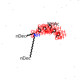 CCCCCCCCCCCCC/C=C/[C@@H](O)[C@H](CO[C@@H]1OC(CO)[C@@H](O[C@@H]2OC(CO)[C@H](O)[C@H](O[C@@H]3OC(CO)[C@@H](O[C@@H]4OC(CO)[C@H](O)[C@H](O[C@@H]5OC(CO)[C@H](O)[C@H](O)C5O)C4O)[C@H](O)C3NC(C)=O)C2O)[C@H](O)C1O)NC(=O)CCCCCCCCCCCCCCCCCCCCCCCCC